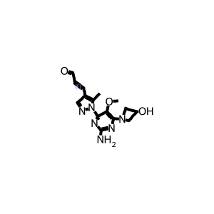 COc1c(N2CC(O)C2)nc(N)nc1-n1ncc(/C=C/C=O)c1C